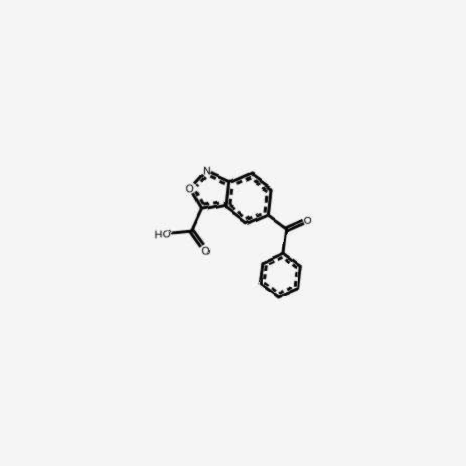 O=C(c1ccccc1)c1ccc2noc(C(=O)O)c2c1